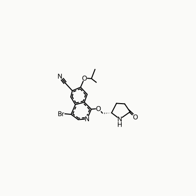 CC(C)Oc1cc2c(OC[C@@H]3CCC(=O)N3)ncc(Br)c2cc1C#N